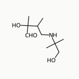 CC(CNC(C)(C)CO)C(C)(O)C=O